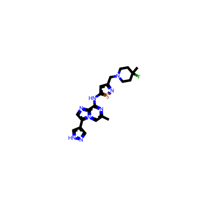 Cc1cn2c(-c3cn[nH]c3)cnc2c(Nc2cc(CN3CCC(C)(F)CC3)ns2)n1